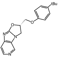 CC(C)(C)c1ccc(OC[C@@H]2Cn3c(nc4ccncc43)O2)cc1